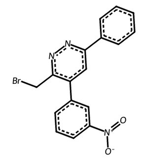 O=[N+]([O-])c1cccc(-c2cc(-c3ccccc3)nnc2CBr)c1